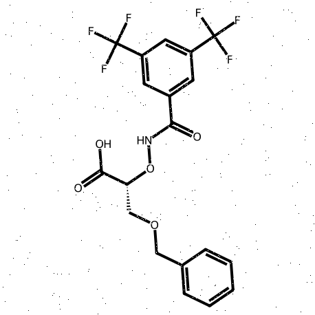 O=C(NO[C@H](COCc1ccccc1)C(=O)O)c1cc(C(F)(F)F)cc(C(F)(F)F)c1